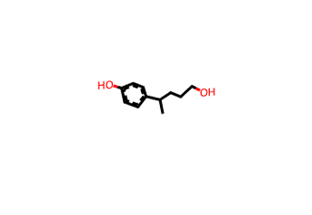 CC(CCCO)c1ccc(O)cc1